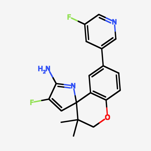 CC1(C)COc2ccc(-c3cncc(F)c3)cc2C12C=C(F)C(N)=N2